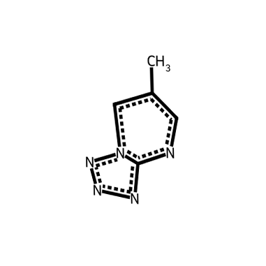 Cc1cnc2nnnn2c1